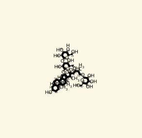 C[C@@H](CC[C@@]1(O)OC2(O[C@@H]3O[C@H](CO)[C@@H](O)[C@H](O[C@@H]4O[C@H](CO)[C@@H](O)[C@H](O)[C@H]4O)[C@H]3O)C[C@H]3[C@@H]4CC[C@@H]5C[C@@H](O)CC[C@]5(C)[C@H]4CC[C@]3(C)[C@H]2[C@@H]1C)CO[C@@H]1O[C@H](CO)[C@@H](O)[C@H](O)[C@H]1O